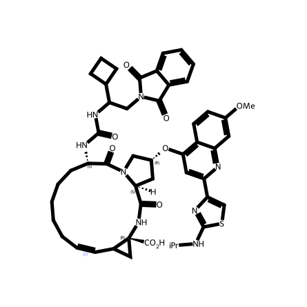 COc1ccc2c(O[C@@H]3C[C@H]4C(=O)N[C@]5(C(=O)O)CC5/C=C\CCCCC[C@H](NC(=O)NC(CN5C(=O)c6ccccc6C5=O)C5CCC5)C(=O)N4C3)cc(-c3csc(NC(C)C)n3)nc2c1